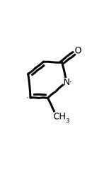 CC1=[C]C=CC(=O)[N]1